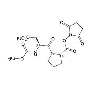 CCOC(=O)C[C@H](NC(=O)OC(C)(C)C)C(=O)N1CCC[C@H]1C(=O)ON1C(=O)CCC1=O